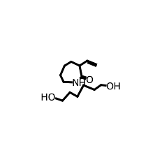 C=CC1CCCCNC1=O.OCCCCCCO